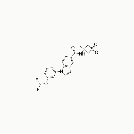 CC1(NC(=O)c2ccc3c(ccn3-c3cccc(OC(F)F)c3)c2)CS(=O)(=O)C1